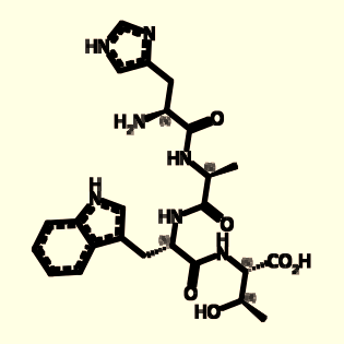 C[C@H](NC(=O)[C@@H](N)Cc1c[nH]cn1)C(=O)N[C@@H](Cc1c[nH]c2ccccc12)C(=O)N[C@H](C(=O)O)[C@@H](C)O